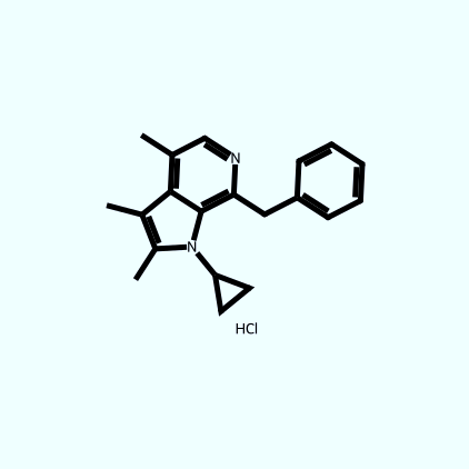 Cc1cnc(Cc2ccccc2)c2c1c(C)c(C)n2C1CC1.Cl